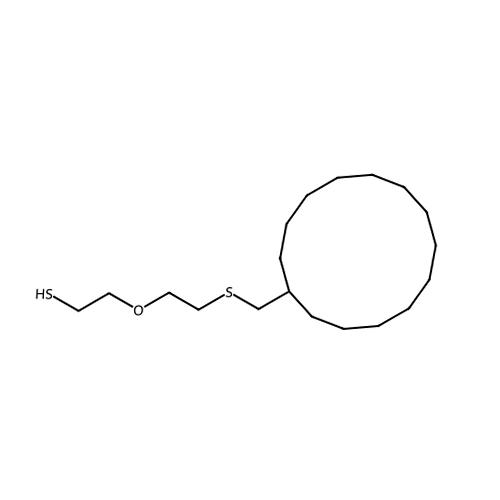 SCCOCCSCC1CCCCCCCCCCCCC1